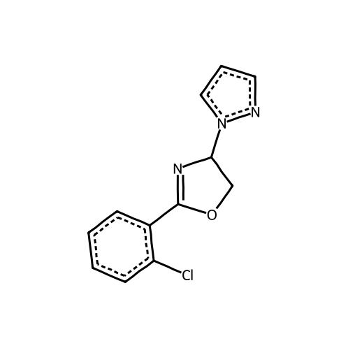 Clc1ccccc1C1=NC(n2cccn2)CO1